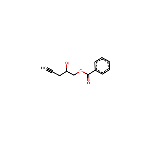 C#CCC(O)COC(=O)c1ccccc1